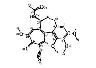 COc1cc2c(c(OC)c1OC)-c1cc(C#N)c(=O)c(OC)cc1[C@@H](NC(C)=O)CC2